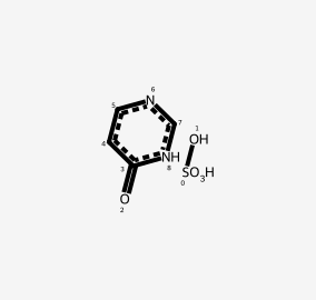 O=S(=O)(O)O.O=c1ccnc[nH]1